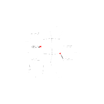 C1=C[C]([Zr+2][C]2(c3ccccc3)C=CC=C2c2ccccc2)(c2ccccc2)C(c2ccccc2)=C1.[Cl-].[Cl-]